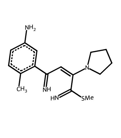 CSC(=N)/C(=C\C(=N)c1cc(N)ccc1C)N1CCCC1